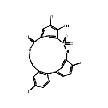 O=C1OCCc2cc(F)ccc2-c2ccc(F)c(c2)NS(=O)(=O)c2cc1cc(Cl)c2O